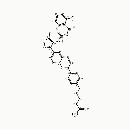 Cc1onc(-c2ccc3cc(-c4ccc(CSCCC(=O)O)cc4)ccc3c2)c1NC(=O)OC(C)c1ccccc1Cl